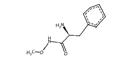 CONC(=O)[C@@H](N)Cc1ccccc1